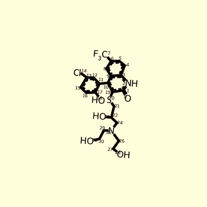 O=c1[nH]c2ccc(C(F)(F)F)cc2c(-c2cc(Cl)ccc2O)c1SCC(O)CN(CCO)CCO